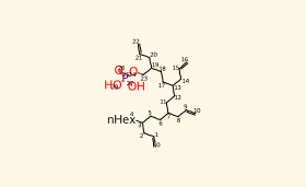 C=CCC(CCCCCC)CCC(CC=C)CCC(CC=C)CCC(CC=C)COP(=O)(O)O